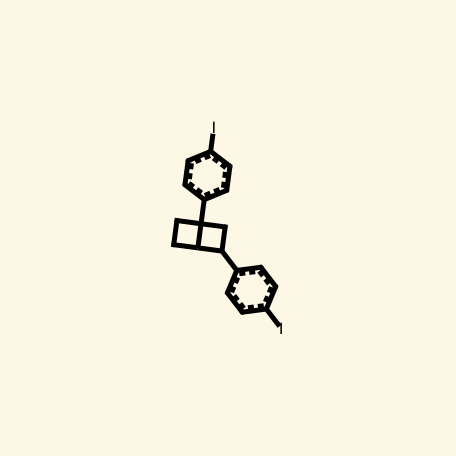 Ic1ccc(C2CC3(c4ccc(I)cc4)CCC23)cc1